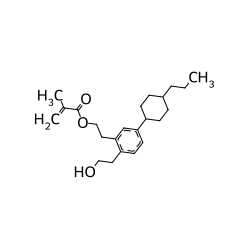 C=C(C)C(=O)OCCc1cc(C2CCC(CCC)CC2)ccc1CCO